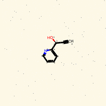 C#C[C@H](O)c1ccccn1